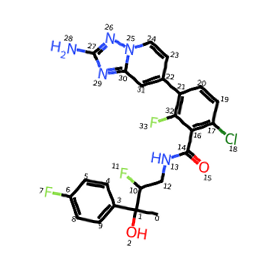 CC(O)(c1ccc(F)cc1)C(F)CNC(=O)c1c(Cl)ccc(-c2ccn3nc(N)nc3c2)c1F